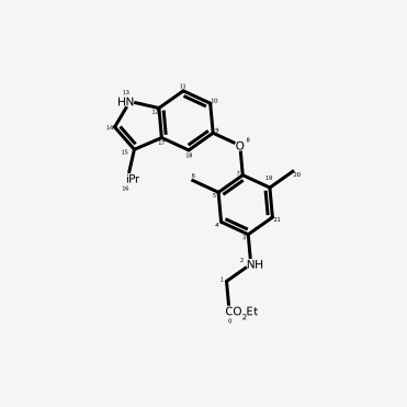 CCOC(=O)CNc1cc(C)c(Oc2ccc3[nH]cc(C(C)C)c3c2)c(C)c1